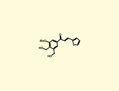 COc1cc(C(=O)/C=C/c2cccs2)cc(CO)c1CO